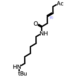 CC(=O)C/C=C/CC(=O)NCCCCCCNC(C)(C)C